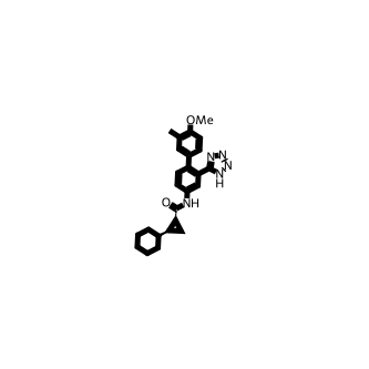 COc1ccc(-c2ccc(NC(=O)[C@@H]3C[C@H]3C3CCCCC3)cc2-c2nnn[nH]2)cc1C